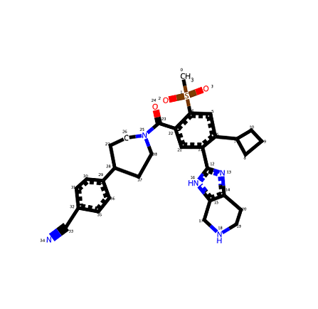 CS(=O)(=O)c1cc(C2CCC2)c(-c2nc3c([nH]2)CNCC3)cc1C(=O)N1CCC(c2ccc(C#N)cc2)CC1